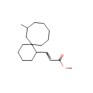 COC(=O)/C=C/C1CCCCC12CCCCCC(C)C2